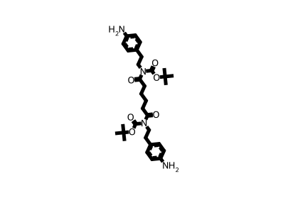 CC(C)(C)OC(=O)N(CCc1ccc(N)cc1)C(=O)CCCCC(=O)N(CCc1ccc(N)cc1)C(=O)OC(C)(C)C